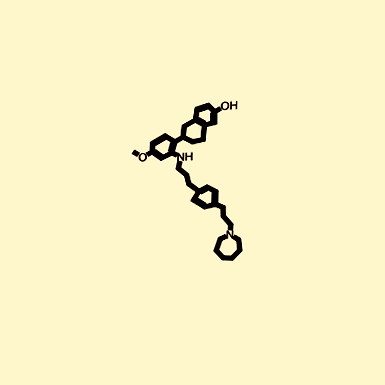 COc1ccc(C2CCc3cc(O)ccc3C2)c(NCCCc2ccc(CCCN3CCCCCC3)cc2)c1